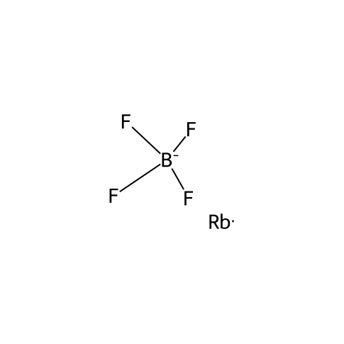 F[B-](F)(F)F.[Rb]